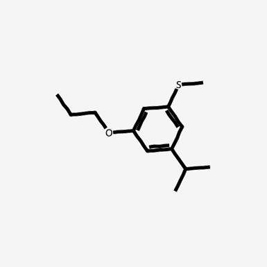 CCCOc1cc(SC)cc([C](C)C)c1